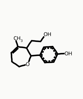 CC1=CCCOC(c2ccc(O)cc2)C1CCO